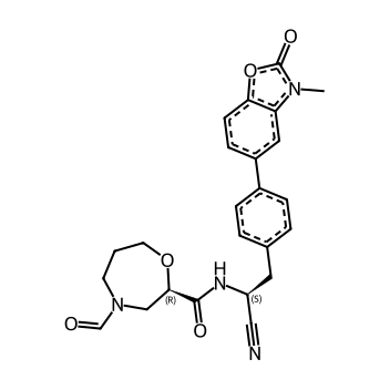 Cn1c(=O)oc2ccc(-c3ccc(C[C@@H](C#N)NC(=O)[C@H]4CN(C=O)CCCO4)cc3)cc21